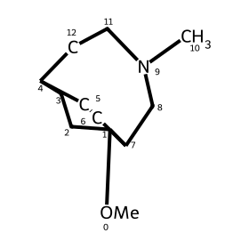 COC1CCC2CCC1CN(C)CC2